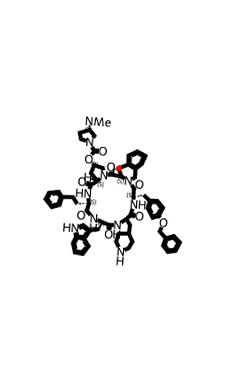 CN[C@H]1CCN(C(=O)O[C@@H]2C[C@H]3C(=O)N[C@@H](CCc4ccccc4)C(=O)N[C@H](Cc4c[nH]c5ccccc45)C(=O)NC(CC4CCNCC4)C(=O)N[C@@H](Cc4ccc(OCc5ccccc5)cc4)C(=O)N4Cc5ccccc5C[C@H]4C(=O)N3C2)C1